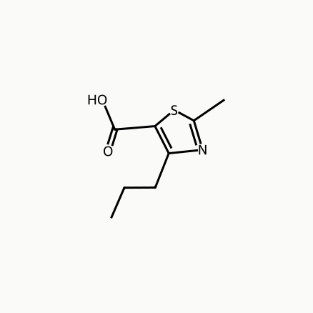 CCCc1nc(C)sc1C(=O)O